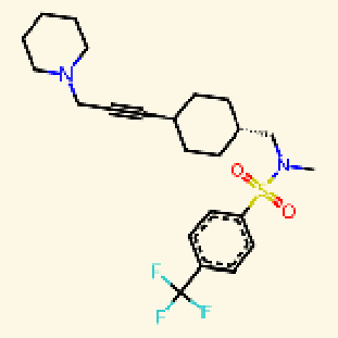 CN(C[C@H]1CC[C@H](C#CCN2CCCCC2)CC1)S(=O)(=O)c1ccc(C(F)(F)F)cc1